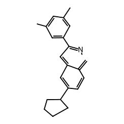 C=c1ccc(C2CCCC2)c/c1=C/C(=N\C)c1cc(C)cc(C)c1